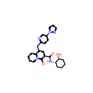 O=C(N[C@H]1CCCC[C@@H]1O)c1cc(Cc2ccc(-n3cccn3)cn2)c2ccccn2c1=O